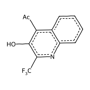 CC(=O)c1c(O)c(C(F)(F)F)nc2ccccc12